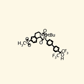 CC(C)(C)OC(=O)N1CCc2cc(S(C)(=O)=O)ccc2C1C(=O)Nc1ccc(-c2ccc(C(O)(C(F)(F)F)C(F)(F)F)cc2)cc1